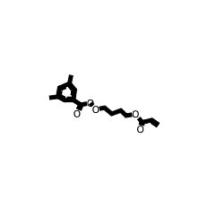 C=CC(=O)OCCCCOOC(=O)c1cc(C)cc(C)c1